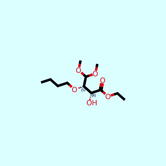 CCCCO[C@H](C(OC)OC)[C@@H](O)C(=O)OCC